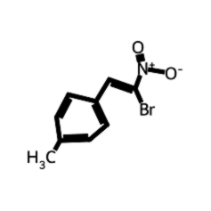 Cc1ccc(C=C(Br)[N+](=O)[O-])cc1